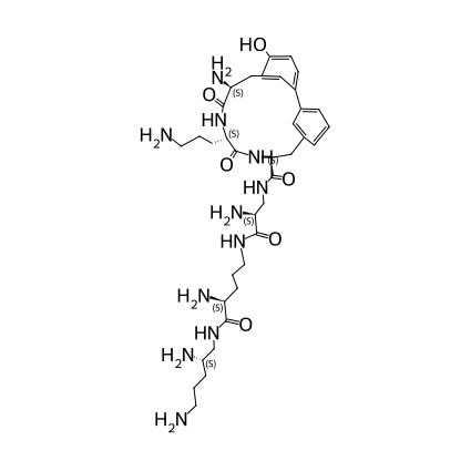 NCCC[C@H](N)CNC(=O)[C@@H](N)CCCNC(=O)[C@@H](N)CNC(=O)[C@@H]1Cc2cccc(c2)-c2ccc(O)c(c2)C[C@H](N)C(=O)N[C@@H](CCCN)C(=O)N1